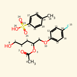 CC(=O)OC(CCCO)COc1ccc(F)cc1.Cc1ccc(S(=O)(=O)O)cc1